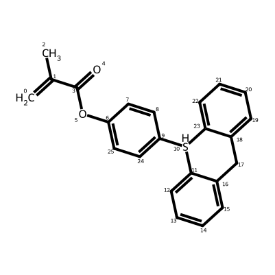 C=C(C)C(=O)Oc1ccc([SH]2c3ccccc3Cc3ccccc32)cc1